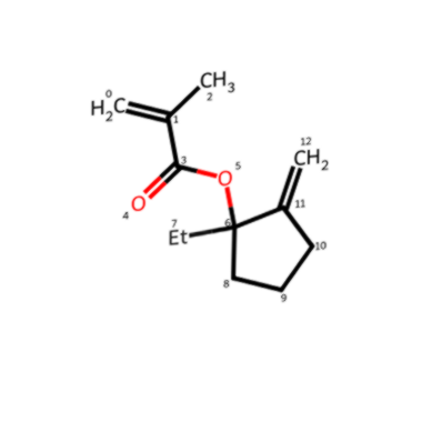 C=C(C)C(=O)OC1(CC)CCCC1=C